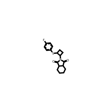 O=C1C2CCCCC2C(=O)N1C1CCC1Sc1ccc(F)cc1